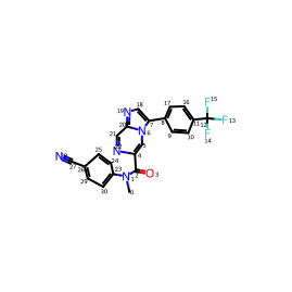 CN(C(=O)c1cn2c(-c3ccc(C(F)(F)F)cc3)cnc2cn1)c1ccc(C#N)cc1